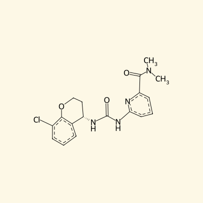 CN(C)C(=O)c1cccc(NC(=O)N[C@H]2CCOc3c(Cl)cccc32)n1